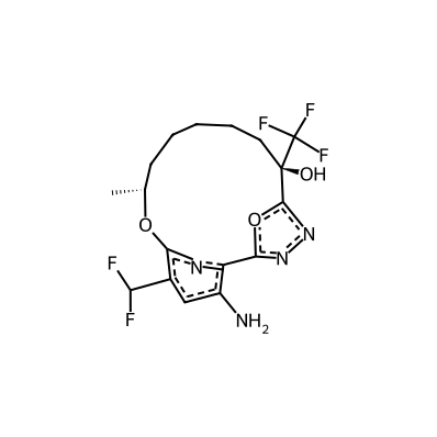 C[C@@H]1CCCCC[C@](O)(C(F)(F)F)c2nnc(o2)-c2nc(c(C(F)F)cc2N)O1